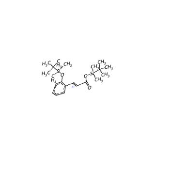 CC(C)(C)[Si](C)(C)OC(=O)/C=C/c1ccccc1O[Si](C)(C)C(C)(C)C